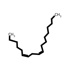 C[CH]CCCCCC/C=C\C/C=C\CCCCC